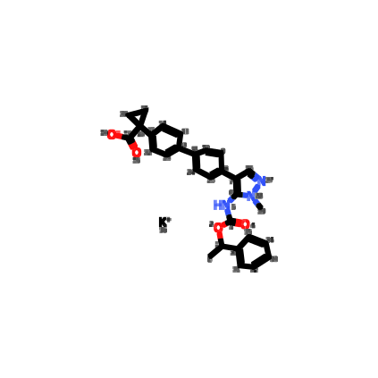 CC(OC(=O)Nc1c(-c2ccc(-c3ccc(C4(C(=O)[O-])CC4)cc3)cc2)cnn1C)c1ccccc1.[K+]